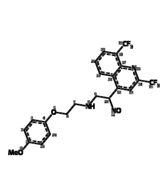 COc1ccc(OCCNCC(N=O)c2cc(C(F)(F)F)nc3c(C(F)(F)F)cccc23)cc1